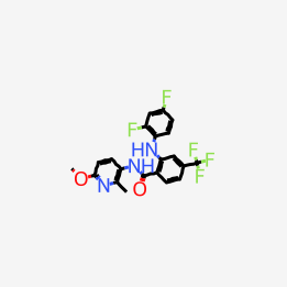 COc1ccc(NC(=O)c2ccc(C(F)(F)F)cc2Nc2ccc(F)cc2F)c(C)n1